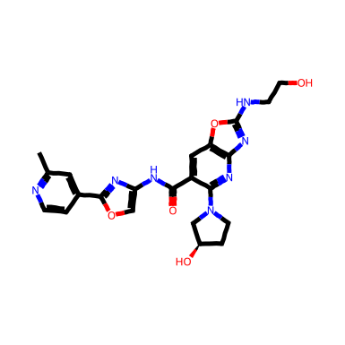 Cc1cc(-c2nc(NC(=O)c3cc4oc(NCCO)nc4nc3N3CC[C@@H](O)C3)co2)ccn1